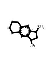 CC1CC(C(C)C)c2cc3c(cc21)CCCC3